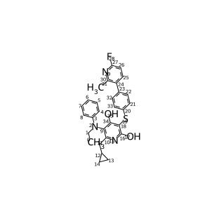 CCN(c1ccccc1)c1c(CC2CC2)nc(O)c(Sc2ccc(-c3ccc(F)nc3C)cc2)c1O